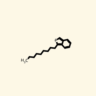 CCCCCCCCCC1=c2ccccc2=C[P]1